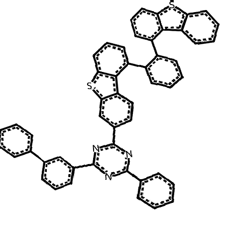 c1ccc(-c2cccc(-c3nc(-c4ccccc4)nc(-c4ccc5c(c4)sc4cccc(-c6ccccc6-c6cccc7sc8ccccc8c67)c45)n3)c2)cc1